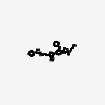 Cl.Cl.O=C(NS(=O)(=O)CCCO)c1ccc(-c2ccc(CCCNC[C@@H](O)c3cccnc3)cc2)cc1OC1CCCCC1